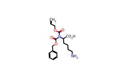 C=CCOC(=O)N(C(=O)OCc1ccccc1)C(CCCCN)C(=O)O